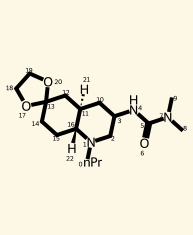 CCCN1CC(NC(=O)N(C)C)C[C@@H]2CC3(CC[C@H]21)OCCO3